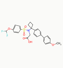 COc1ccc(-c2ccc(C3(N(CC(=O)O)S(=O)(=O)c4ccc(OC(F)F)cc4)CCC3)cc2)cc1